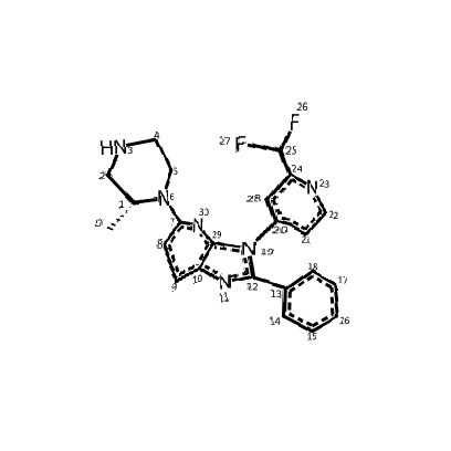 C[C@@H]1CNCCN1c1ccc2nc(-c3ccccc3)n(-c3ccnc(C(F)F)c3)c2n1